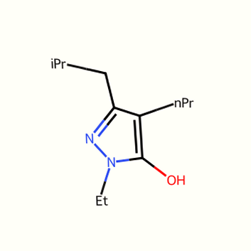 CCCc1c(CC(C)C)nn(CC)c1O